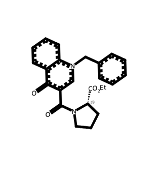 CCOC(=O)[C@@H]1CCCN1C(=O)c1cn(Cc2ccccc2)c2ccccc2c1=O